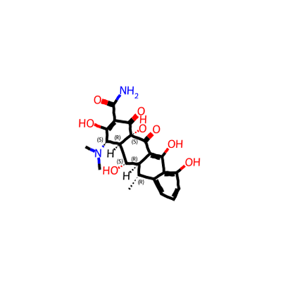 C[C@H]1c2cccc(O)c2C(O)=C2C(=O)[C@]3(O)C(=O)C(C(N)=O)=C(O)[C@@H](N(C)C)[C@@H]3[C@@H](O)[C@@H]21